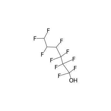 OC(F)(F)C(F)(F)C(F)(F)C(F)C(F)C(F)F